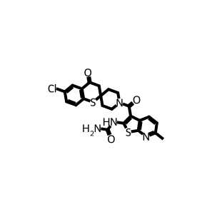 Cc1ccc2c(C(=O)N3CCC4(CC3)CC(=O)c3cc(Cl)ccc3S4)c(NC(N)=O)sc2n1